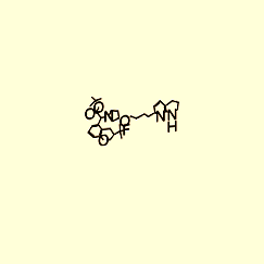 CC(C)(C)OC(=O)C(c1cccc2c1CC(C(C)(C)F)CO2)N1CC[C@@H](OCCCCc2ccc3c(n2)NCCC3)C1